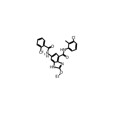 CCOc1nc2c(C(=O)Nc3cccc(Cl)c3C)cc(NC(=O)c3ccccc3C(F)(F)F)cc2[nH]1